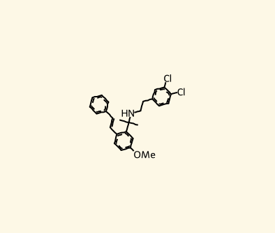 COc1ccc(C=Cc2ccccc2)c(C(C)(C)NCCc2ccc(Cl)c(Cl)c2)c1